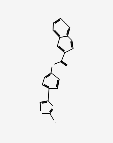 Nc1nc(-c2ccc(OC(=O)c3ccc4ccccc4c3)cc2)cs1